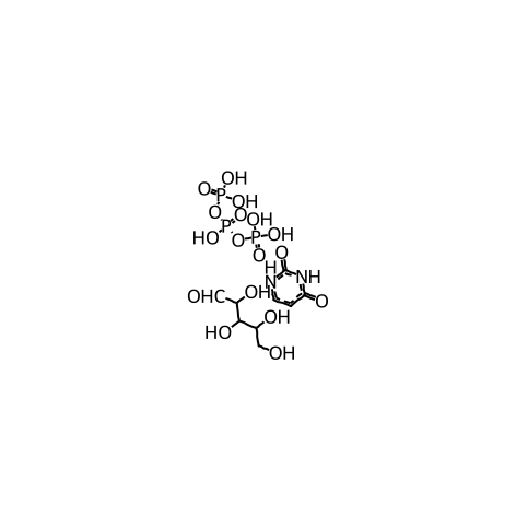 O=CC(O)C(O)C(O)CO.O=P(O)(O)OP(=O)(O)OP(=O)(O)O.O=c1cc[nH]c(=O)[nH]1